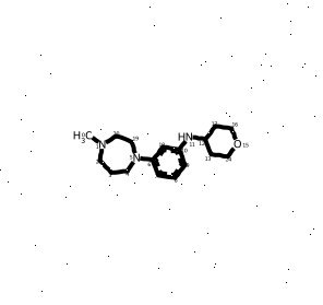 CN1CCCN(c2cc[c]c(NC3CCOCC3)c2)CC1